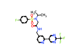 CC(C)N(CC(=O)NCc1ccnc(-c2cnc(C(F)(F)F)nc2)c1)S(=O)(=O)c1ccc(F)cc1